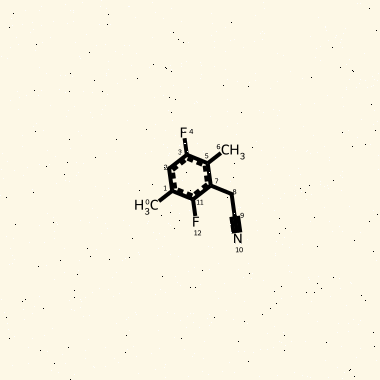 Cc1cc(F)c(C)c(CC#N)c1F